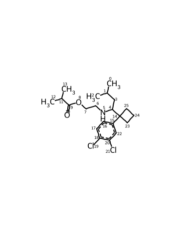 CC(C)CC(NCCOC(=O)C(C)C)C1(c2ccc(Cl)c(Cl)c2)CCC1